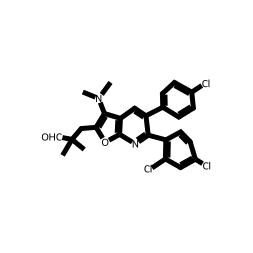 CN(C)c1c(CC(C)(C)C=O)oc2nc(-c3ccc(Cl)cc3Cl)c(-c3ccc(Cl)cc3)cc12